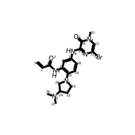 C=CC(=O)Nc1cc(Nc2nc(Br)cn(C)c2=O)ccc1N1CCC(N(C)C)C1